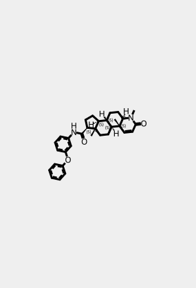 CN1C(=O)C=C[C@]2(C)[C@H]3CC[C@]4(C)[C@@H](C(=O)Nc5cccc(Oc6ccccc6)c5)CC[C@H]4[C@@H]3CC[C@@H]12